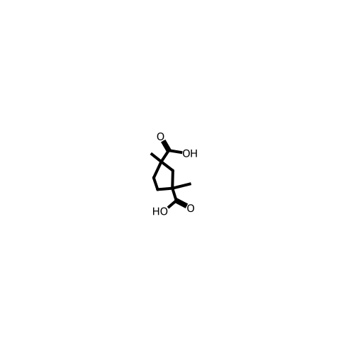 CC1(C(=O)O)CCC(C)(C(=O)O)C1